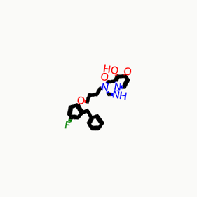 O=C1c2c(O)c(=O)ccn2NCN1CCCCOc1ccc(F)cc1Cc1ccccc1